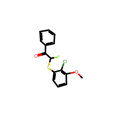 COc1cccc(SC(F)C(=O)c2ccccc2)c1Cl